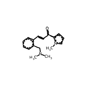 CN(C)Cc1ccccc1C=CC(=O)c1cccn1C